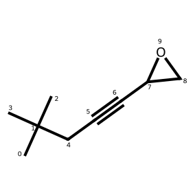 CC(C)(C)CC#CC1CO1